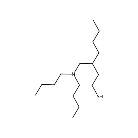 CCCCC(CCS)CN(CCCC)CCCC